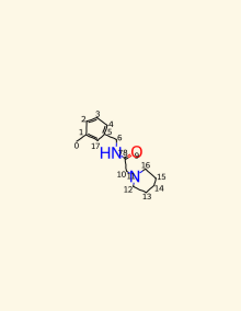 Cc1cccc(CNC(=O)CN2CCCCC2)c1